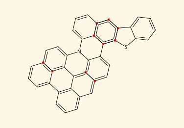 c1ccc(-c2cccc3cccc(-c4ccccc4N(c4ccccc4-c4cccc5c4sc4ccccc45)c4cccc5ccccc45)c23)cc1